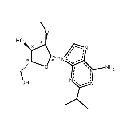 CO[C@@H]1[C@H](O)[C@@H](CO)O[C@H]1n1cnc2c(N)nc(C(C)C)nc21